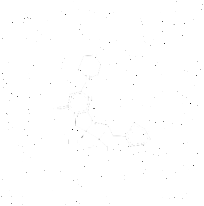 C[C@@]1(C(F)(F)F)Cn2c(nc(N3CCOCC3)cc2=O)N1CCc1ccccc1